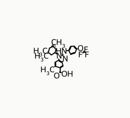 Cc1cc2c(cc1C(=O)O)nc(Nc1ccc(OC(F)(F)F)cc1)n2C1C[C@H](C)CC(C)(C)C1